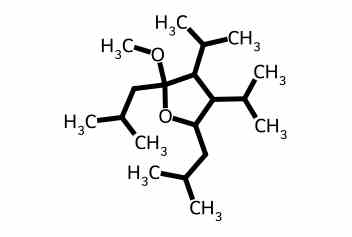 COC1(CC(C)C)OC(CC(C)C)C(C(C)C)C1C(C)C